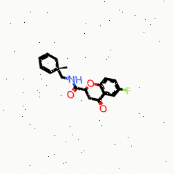 C[C@@]1(CNC(=O)C2CC(=O)c3cc(F)ccc3O2)C=CC=CC1